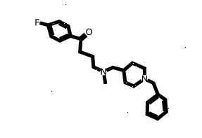 CN(CCCC(=O)c1ccc(F)cc1)CC1CCN(Cc2ccccc2)CC1